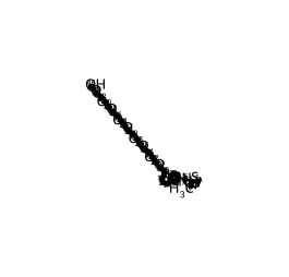 C[n+]1ccsc1/N=N/c1ccc2c(c1)CCCN2CCOCCOCCOCCOCCOCCOCCOCCOCCOCO